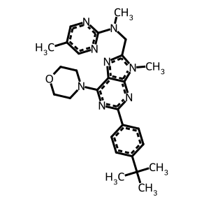 Cc1cnc(N(C)Cc2nc3c(N4CCOCC4)nc(-c4ccc(C(C)(C)C)cc4)nc3n2C)nc1